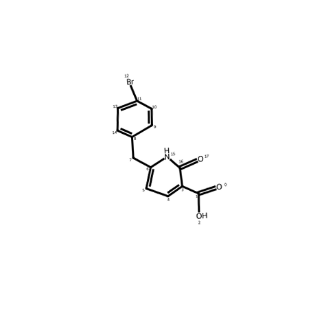 O=C(O)c1ccc(Cc2ccc(Br)cc2)[nH]c1=O